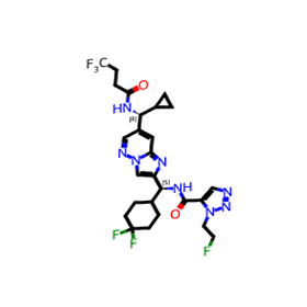 O=C(CCC(F)(F)F)N[C@@H](c1cnn2cc([C@@H](NC(=O)c3cnnn3CCF)C3CCC(F)(F)CC3)nc2c1)C1CC1